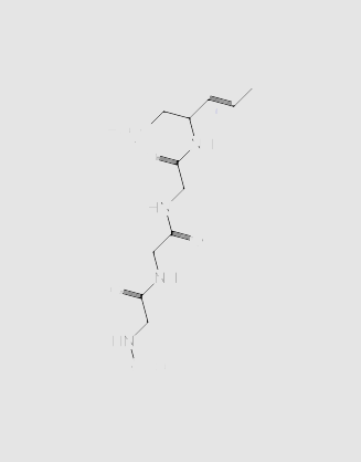 C/C=C/C(CC(=O)O)NC(=O)CNC(=O)CNC(=O)CNC=O